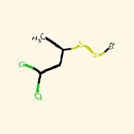 CCSSC(C)CC(Cl)Cl